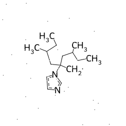 [CH2]C(CC(C)CC)(CC(C)CC)n1ccnc1